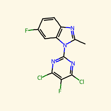 Cc1nc2ccc(F)cc2n1-c1nc(Cl)c(F)c(Cl)n1